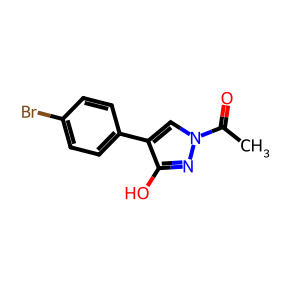 CC(=O)n1cc(-c2ccc(Br)cc2)c(O)n1